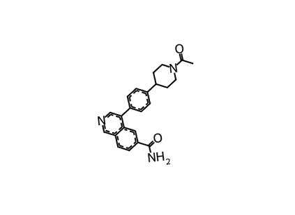 CC(=O)N1CCC(c2ccc(-c3cncc4ccc(C(N)=O)cc34)cc2)CC1